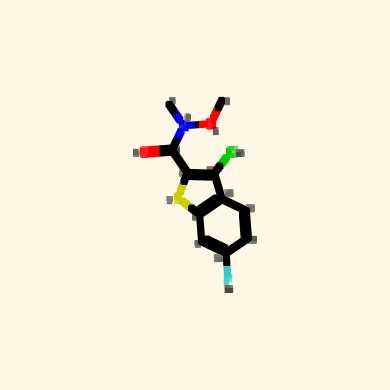 CON(C)C(=O)c1sc2cc(F)ccc2c1Cl